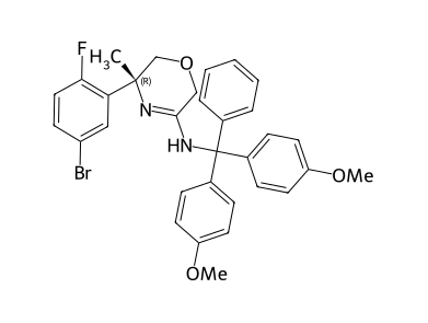 COc1ccc(C(NC2=N[C@](C)(c3cc(Br)ccc3F)COC2)(c2ccccc2)c2ccc(OC)cc2)cc1